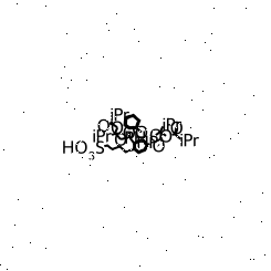 CC(C)C(=O)OC(O[PH](=O)c1ccc(CCCCS(=O)(=O)O)c([PH](=O)OC(OC(=O)C(C)C)C(C)C)c1Oc1ccccc1)C(C)C